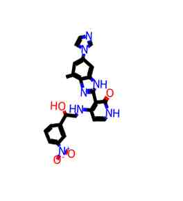 Cc1cc(-n2ccnc2)cc2[nH]c(-c3c(NCC(O)c4cccc([N+](=O)[O-])c4)cc[nH]c3=O)nc12